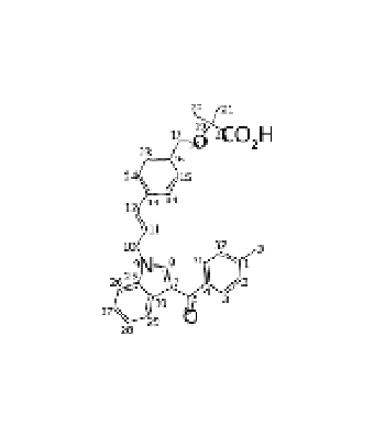 Cc1ccc(C(=O)c2cn(C/C=C/c3ccc(COC(C)(C)C(=O)O)cc3)c3ccccc23)cc1